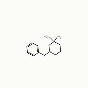 NC1(C(=O)O)CCCN(Cc2ccccc2)C1